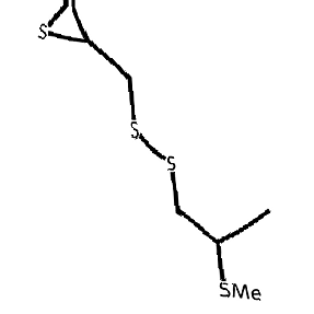 CSC(C)CSSCC1CS1